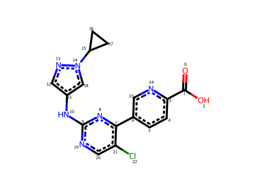 O=C(O)c1ccc(-c2nc(Nc3cnn(C4CC4)c3)ncc2Cl)cn1